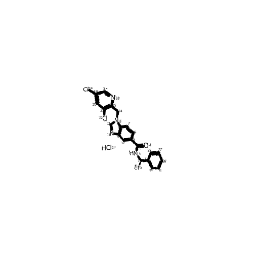 CC[C@@H](NC(=O)c1ccc2c(c1)ncn2Cc1ncc(Cl)cc1Cl)c1ccccc1.Cl